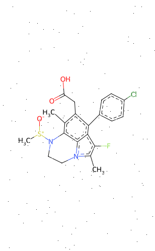 Cc1c(CC(=O)O)c(-c2ccc(Cl)cc2)c2c(F)c(C)n3c2c1N([S+](C)[O-])CC3